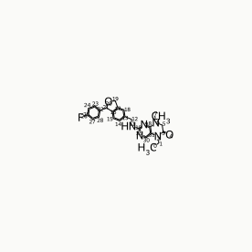 CCN1C(=O)CN(C)c2nc(NCc3ccc4c(c3)COC4c3ccc(F)cc3)ncc21